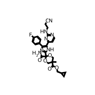 CC1(C(=O)OCC2CC2)COC(C(N)=O)(c2nc(-c3ccc(F)cc3)c(-c3ccnc(NCCC#N)n3)[nH]2)OC1